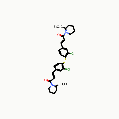 CCOC(=O)C1CCCCN1C(=O)/C=C/c1ccc(Sc2ccc(/C=C/C(=O)N3CCCCC3C(=O)OCC)cc2Cl)c(Cl)c1